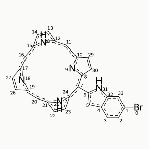 Brc1ccc2cc(-c3c4nc(cc5ccc(cc6nc(cc7ccc3[nH]7)C=C6)[nH]5)C=C4)[nH]c2c1